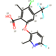 Cc1nc(F)ccc1Oc1cc(C(F)(F)F)c(Cl)c(C)c1C(=O)O